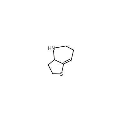 C1=C2SCCC2NCC1